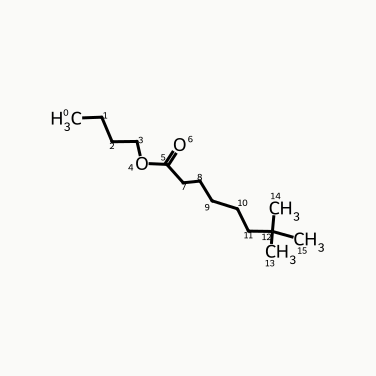 CCCCOC(=O)CCCCCC(C)(C)C